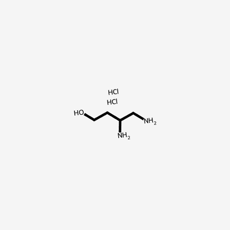 Cl.Cl.NCC(N)CCO